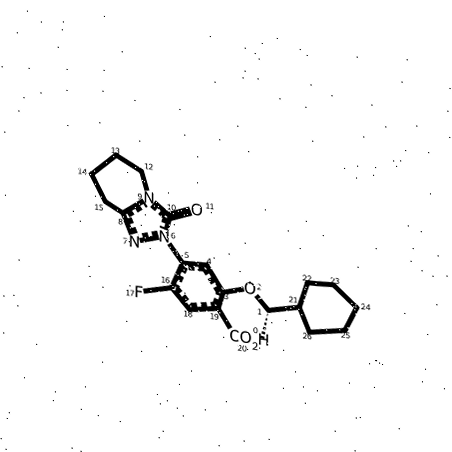 C[C@H](Oc1cc(-n2nc3n(c2=O)CCCC3)c(F)cc1C(=O)O)C1CCCCC1